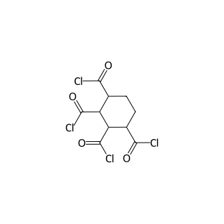 O=C(Cl)C1CCC(C(=O)Cl)C(C(=O)Cl)C1C(=O)Cl